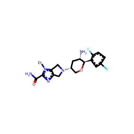 CCn1c(C(N)=O)nc2c1CN([C@H]1CO[C@H](c3cc(F)ccc3F)[C@@H](N)C1)C2